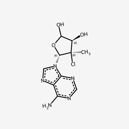 C[C@@]1(Cl)[C@H](O)C(O)O[C@H]1n1cnc2c(N)ncnc21